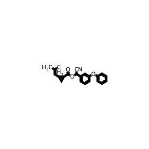 CC(C)=CC1CC1C(=O)OC(C#N)c1cccc(Oc2ccccc2)c1